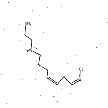 CC/C=C\C/C=C\CCCNCCN